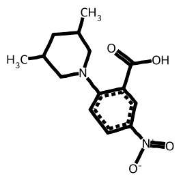 CC1CC(C)CN(c2ccc([N+](=O)[O-])cc2C(=O)O)C1